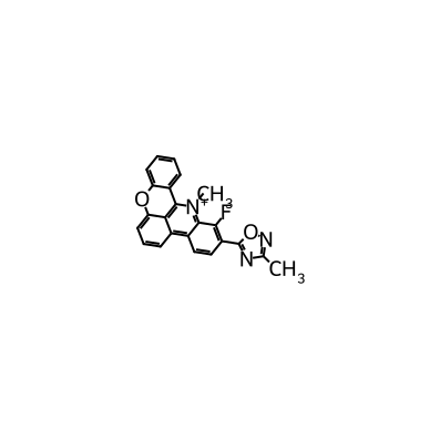 Cc1noc(-c2ccc3c4cccc5c4c([n+](C)c3c2F)-c2ccccc2O5)n1